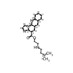 CN(C)CCNCCOC(=O)c1cc2cc3ccccc3nc2n2ccnc12